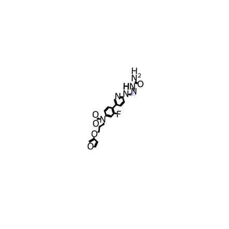 NC(=O)N/N=C\Nc1ccc(-c2ccc(N3CC(COc4ccoc4)OC3=O)cc2F)cn1